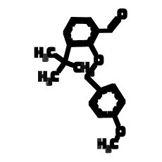 COc1ccc(COc2c(C=O)cccc2C(C)(C)C)cc1